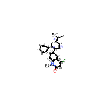 CC/C(C)=C/C=C\C(=C(/C)c1ccccc1)c1ccc2c(c1)c(Cl)cc(=O)n2CC